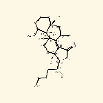 CC(=O)OC1CCC[C@@H]2C[C@@H](C)C3=C4C(=O)C[C@H]([C@H](C)CCCC(C)C)[C@@]4(C)CC[C@@H]3[C@@]12C